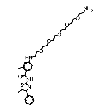 Cc1cc(NCCOCCOCCOCCOCCOCCN)ccc1C(=O)NC1=NC(c2ccccc2)C(C)S1